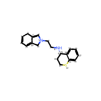 C1=CCC2=CN(CCN[C@H]3CCSc4ccccc43)CC2=C1